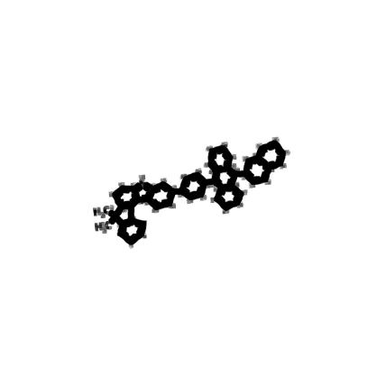 CC1(C)c2ccccc2-c2c1ccc1sc3cc(-c4ccc(-c5c6ccccc6c(-c6ccc7ccccc7c6)c6ccccc56)cc4)ccc3c21